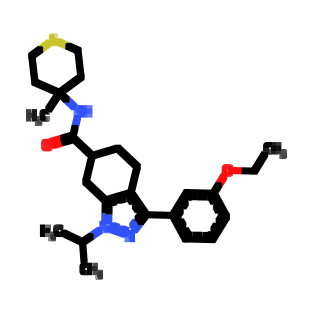 CCOc1cccc(-c2nn(C(C)C)c3c2CCC(C(=O)NC2(C)CCSCC2)C3)c1